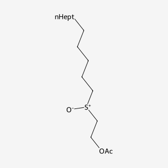 CCCCCCCCCCCC[S+]([O-])CCOC(C)=O